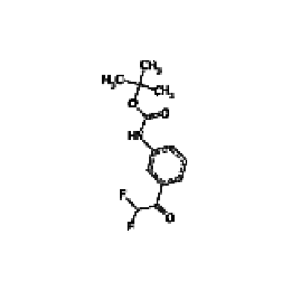 CC(C)(C)OC(=O)Nc1cccc(C(=O)C(F)F)c1